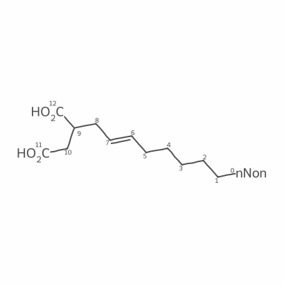 CCCCCCCCCCCCCCC=CCC(CC(=O)O)C(=O)O